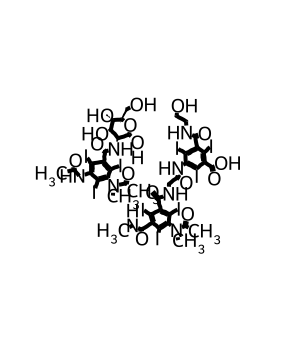 CC(=O)Nc1c(I)c(C(=O)N[C@H]2C(O)O[C@H](CO)[C@@H](O)[C@@H]2O)c(I)c(N(C)C(C)=O)c1I.CNC(=O)c1c(I)c(C(=O)NCC(=O)Nc2c(I)c(C(=O)O)c(I)c(C(=O)NCCO)c2I)c(I)c(N(C)C(C)=O)c1I